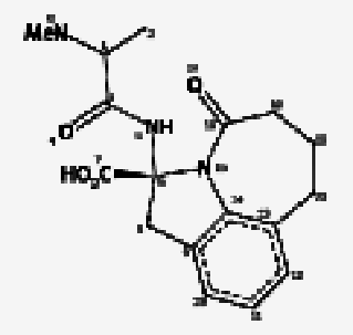 CNC(C)C(=O)N[C@@]1(C(=O)O)Cc2cccc3c2N1C(=O)CCC3